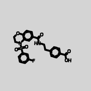 O=C(O)c1ccc(CCNC(=O)c2ccc3c(c2)N(S(=O)(=O)c2cccc(F)c2)CCO3)cc1